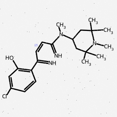 CN(C(=N)/C=C\C(=N)c1ccc(Cl)cc1O)C1CC(C)(C)N(C)C(C)(C)C1